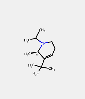 CC(C)N1CCC=C(C(C)(C)C)[C@H]1C